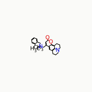 Cc1ccccc1CN(C)Cc1cc(=O)oc2c3c4c(cc12)CCCN4CCC3